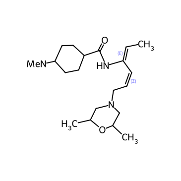 C/C=C(\C=C/CN1CC(C)OC(C)C1)NC(=O)C1CCC(NC)CC1